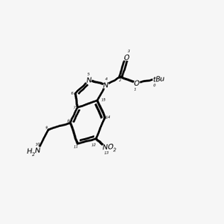 CC(C)(C)OC(=O)n1ncc2c(CN)cc([N+](=O)[O-])cc21